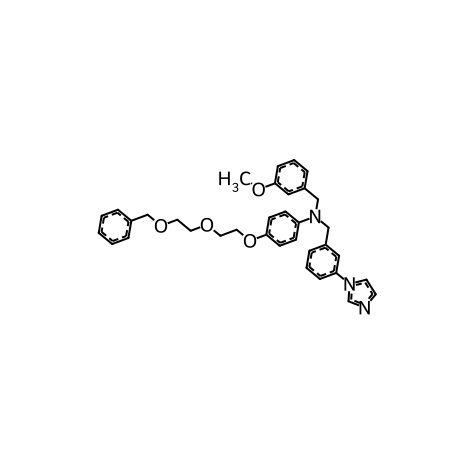 COc1cccc(CN(Cc2cccc(-n3ccnc3)c2)c2ccc(OCCOCCOCc3ccccc3)cc2)c1